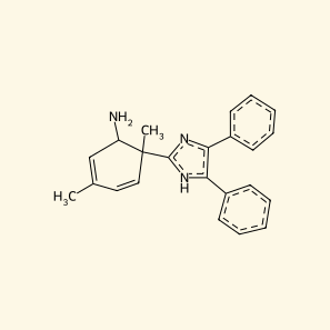 CC1=CC(N)C(C)(c2nc(-c3ccccc3)c(-c3ccccc3)[nH]2)C=C1